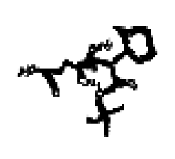 CC(C)(C)OC(=O)C(c1ccccc1)C(N)C(O)CC(=O)O